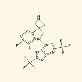 Fc1ccc(C2(CNc3cc(C(F)(F)F)nc4cc(C(F)(F)F)nn34)CNC2)cc1F